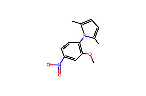 COc1cc([N+](=O)[O-])ccc1-n1c(C)ccc1C